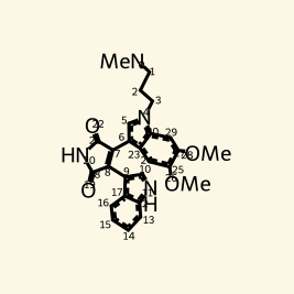 CNCCCn1cc(C2=C(c3c[nH]c4ccccc34)C(=O)NC2=O)c2cc(OC)c(OC)cc21